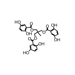 CC(COC(=O)c1cc(O)ccc1O)(COC(=O)c1cc(O)ccc1O)COC(=O)c1cc(O)ccc1O